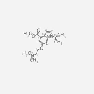 COC(=O)c1cc(OCCN(C)C)cc2c1ccn2C(C)C